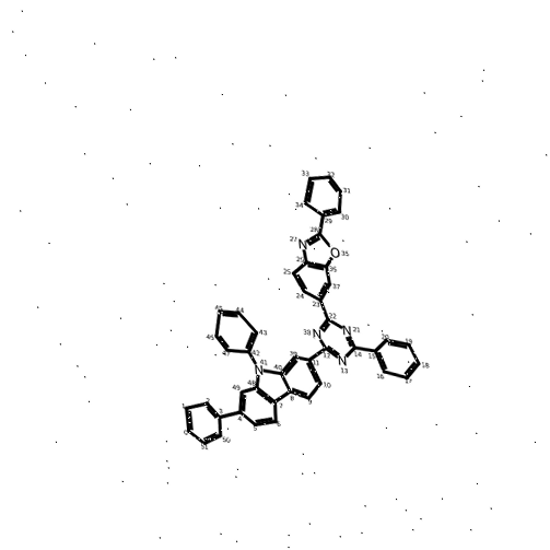 c1ccc(-c2ccc3c4ccc(-c5nc(-c6ccccc6)nc(-c6ccc7nc(-c8ccccc8)oc7c6)n5)cc4n(-c4ccccc4)c3c2)cc1